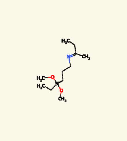 CCC(C)=NCCC[Si](CC)(OC)OC